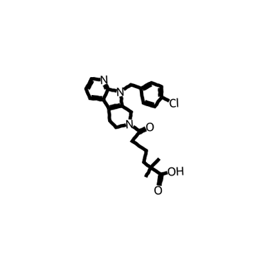 CC(C)(CCCC(=O)N1CCc2c(n(Cc3ccc(Cl)cc3)c3ncccc23)C1)C(=O)O